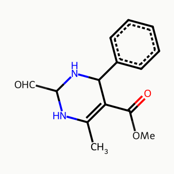 COC(=O)C1=C(C)NC(C=O)NC1c1ccccc1